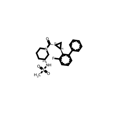 CS(=O)(=O)N[C@@H]1CCCN(C(=O)[C@@H]2C[C@H]2c2c(F)cccc2-c2ccccc2)C1